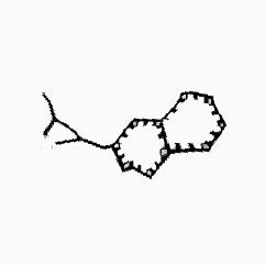 CC1OC1c1ccc2ccccc2c1